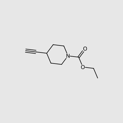 C#CC1CCN(C(=O)OCC)CC1